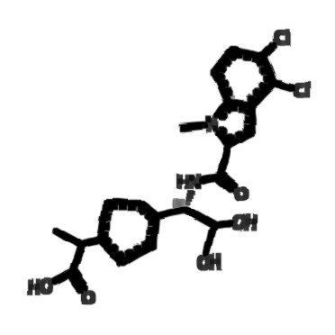 CC(C(=O)O)c1ccc([C@H](NC(=O)c2cc3c(Cl)c(Cl)ccc3n2C)C(O)O)cc1